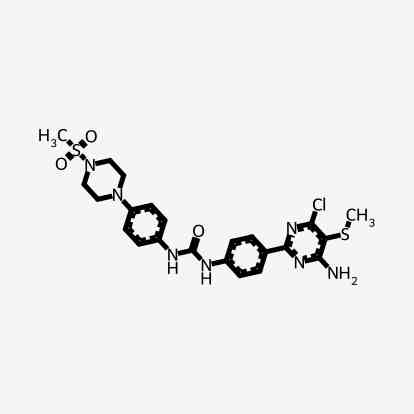 CSc1c(N)nc(-c2ccc(NC(=O)Nc3ccc(N4CCN(S(C)(=O)=O)CC4)cc3)cc2)nc1Cl